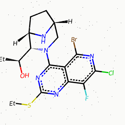 CCSc1nc(N2C[C@H]3CC[C@H](N3)[C@H]2[C@@H](O)CC)c2c(Br)nc(Cl)c(F)c2n1